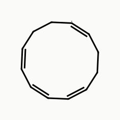 [C]1=CCCC=CC=CC=CCC1